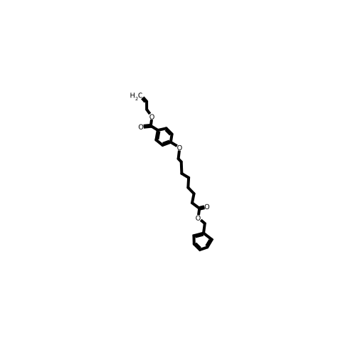 C=CCOC(=O)c1ccc(OCCCCCCCC(=O)OCc2ccccc2)cc1